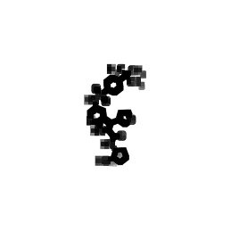 CC(C)(C)c1ccc(S(=O)(=O)Nc2cnc3[nH]c(C(=O)N[C@H]4CCC[C@H]4O)c(-c4ccoc4)c3c2)cc1